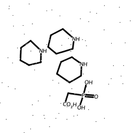 C1CCNCC1.C1CCNCC1.C1CCNCC1.O=C(O)CP(=O)(O)O